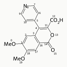 COc1cc2c(-c3ccncc3)c(C(=O)O)oc(=O)c2cc1OC